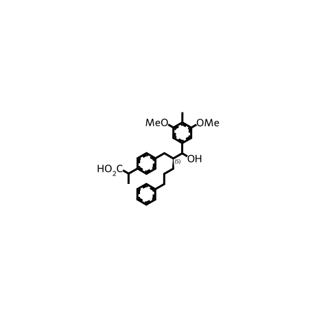 COc1cc(C(O)[C@@H](CCCc2ccccc2)Cc2ccc(C(C)C(=O)O)cc2)cc(OC)c1C